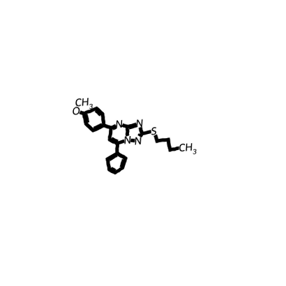 CCCCSc1nc2nc(-c3ccc(OC)cc3)cc(-c3ccccc3)n2n1